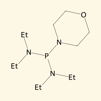 CCN(CC)P(N(CC)CC)N1CCOCC1